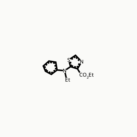 CCOC(=O)c1ncsc1N(CC)c1ccccc1